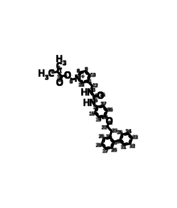 CC(C)C(=O)OC[n+]1cccc(CNC(=O)Nc2ccc(OCCc3ccccc3-c3ccccc3)cc2)c1